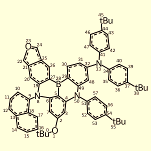 CC(C)(C)Oc1cc2c3c(c1)N(c1cccc4ccccc14)c1cc4cocc4cc1B3c1ccc(N(c3ccc(C(C)(C)C)cc3)c3ccc(C(C)(C)C)cc3)cc1N2c1ccc(C(C)(C)C)cc1